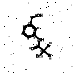 O=C(Nc1cccc(CO)c1)C(Br)(Br)Br